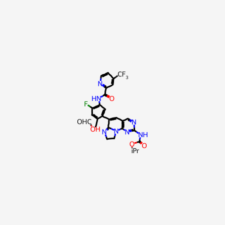 Cc1cc(F)c(NC(=O)c2cc(C(F)(F)F)ccn2)cc1C1=Cc2cnc(NC(=O)OC(C)C)nc2N2CCN=C12.O=CO